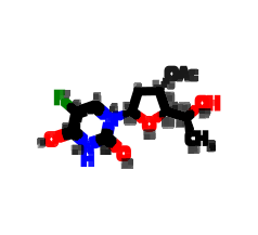 CC(=O)O[C@H]1C[C@H](n2cc(F)c(=O)[nH]c2=O)O[C@@H]1[C@H](C)O